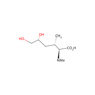 CN[C@H](C(=O)O)[C@@H](C)C[C@@H](O)CO